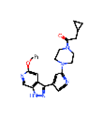 CC(C)Oc1cc2c(-c3ccnc(N4CCN(C(=O)CC5CC5)CC4)c3)n[nH]c2cn1